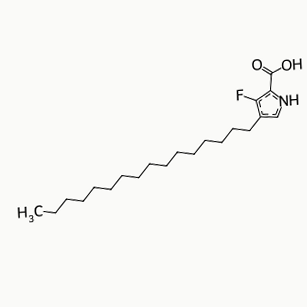 CCCCCCCCCCCCCCCCc1c[nH]c(C(=O)O)c1F